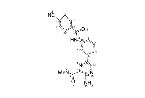 CNC(=O)c1nc(-c2cccc(NC(=O)c3ccc(C#N)cc3)c2)cnc1N